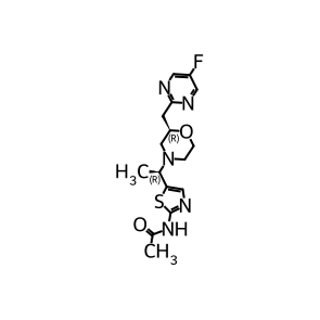 CC(=O)Nc1ncc([C@@H](C)N2CCO[C@H](Cc3ncc(F)cn3)C2)s1